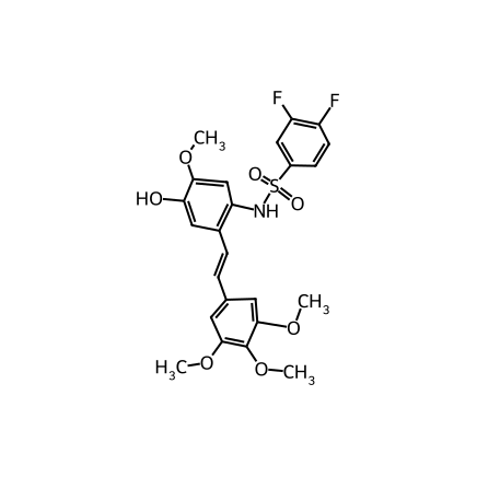 COc1cc(NS(=O)(=O)c2ccc(F)c(F)c2)c(C=Cc2cc(OC)c(OC)c(OC)c2)cc1O